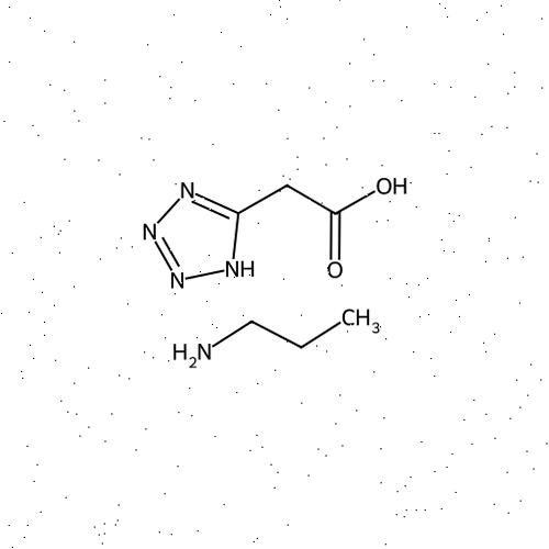 CCCN.O=C(O)Cc1nnn[nH]1